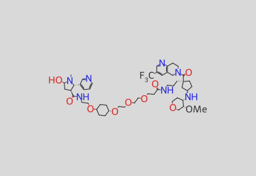 CO[C@@H]1COCC[C@@H]1N[C@@H]1CC[C@](CCCNC(=O)CCOCCOCCO[C@H]2CC[C@H](OCCNC(=O)[C@H]3CC(O)N(C)[C@@H]3c3cccnc3)CC2)(C(=O)N2CCc3ncc(C(F)(F)F)cc3C2)C1